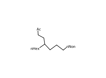 CCCCCCCCCCCCC(CCCCCC)CCC(C)=O